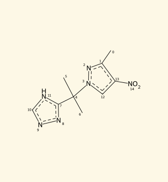 Cc1nn(C(C)(C)c2nnc[nH]2)cc1[N+](=O)[O-]